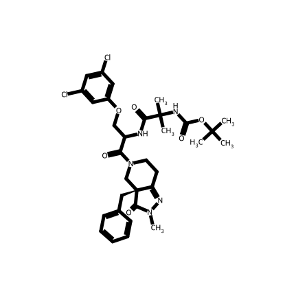 CN1N=C2CCN(C(=O)C(COc3cc(Cl)cc(Cl)c3)NC(=O)C(C)(C)NC(=O)OC(C)(C)C)C[C@@]2(Cc2ccccc2)C1=O